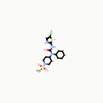 CS(=O)(=O)N1CCC(N(C(=O)Nc2ncc(Cl)s2)C2CCCCC2)CC1